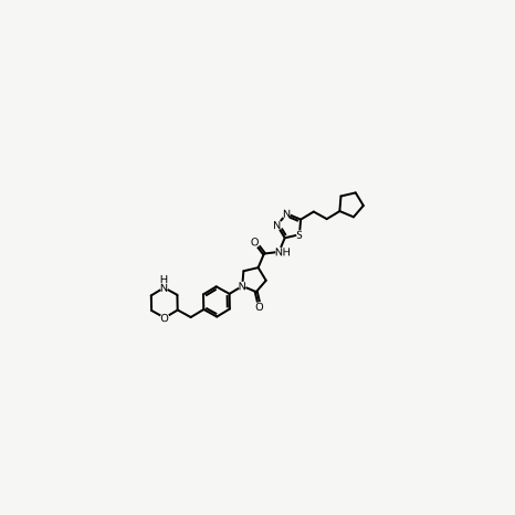 O=C(Nc1nnc(CCC2CCCC2)s1)C1CC(=O)N(c2ccc(CC3CNCCO3)cc2)C1